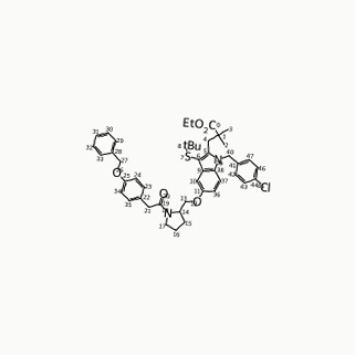 CCOC(=O)C(C)(C)Cc1c(SC(C)(C)C)c2cc(OCC3CCCN3C(=O)Cc3ccc(OCc4ccccc4)cc3)ccc2n1Cc1ccc(Cl)cc1